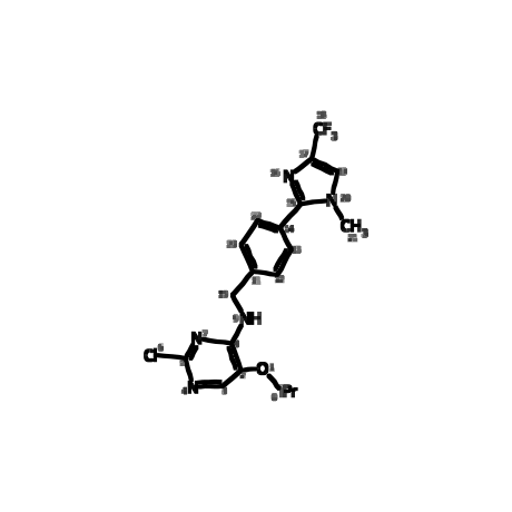 CC(C)Oc1cnc(Cl)nc1NCc1ccc(-c2nc(C(F)(F)F)cn2C)cc1